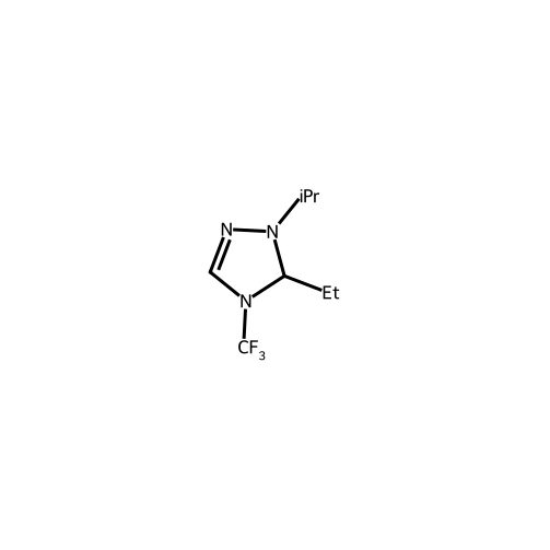 CCC1N(C(C)C)N=CN1C(F)(F)F